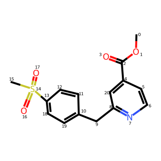 COC(=O)c1ccnc(Cc2ccc(S(C)(=O)=O)cc2)c1